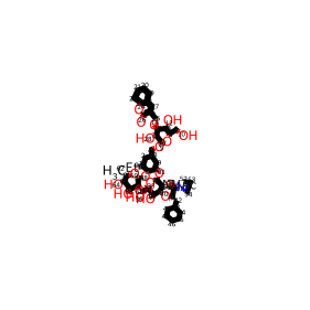 CCC1CC(CO[C@H]2OC(CO)[C@@H](O)C(OCc3cc4ccccc4oc3=O)C2O)C[C@@H](O[C@@H]2OC(CO)[C@H](O)C(O[C@@H](CC3CCCCC3)C(=O)N3CCC3)C2NC(C)=O)C1O[C@@H]1OC(C)[C@@H](O)C(O)C1O